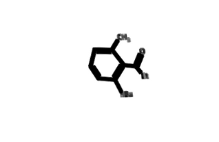 CCCCc1cccc(C)c1C(=O)CC